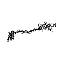 CCc1cc2c(cc1N1CCN(CCCOCCOCCOCCOCCOCCNc3cccc4c3C(=O)N(C3CCC(=O)NC3=O)C4=O)CC1)C(C)(C)c1[nH]c3cc(C#N)ccc3c1C2=O